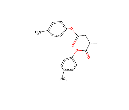 CC(CC(=O)Oc1ccc([N+](=O)[O-])cc1)C(=O)Oc1ccc([N+](=O)[O-])cc1